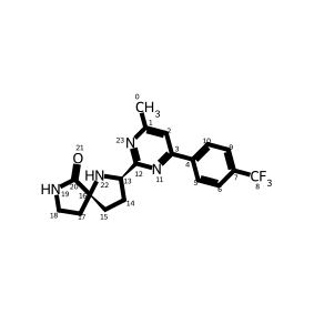 Cc1cc(-c2ccc(C(F)(F)F)cc2)nc([C@H]2CC[C@]3(CCNC3=O)N2)n1